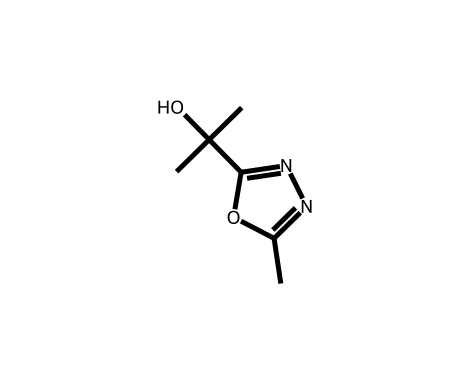 Cc1nnc(C(C)(C)O)o1